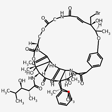 CC[C@H](C)[C@H]1NC(=O)[C@@H](NC(=O)[C@H](C)[C@H](O)C(C)C)[C@@H](C)OC(=O)[C@@H]2COC(=O)CNC(=O)/C=C/[C@](O)(CBr)[C@@H](C)Oc3ccc(cc3)C(NC1=O)C(=O)N(C)[C@@H](Cc1ccccc1)C(=O)N[C@H]([C@@H](C)O)C(=O)N2